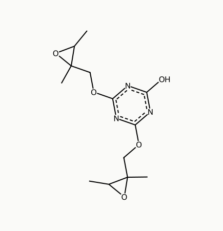 CC1OC1(C)COc1nc(O)nc(OCC2(C)OC2C)n1